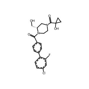 O=C(c1ccc(-c2ccc(Cl)cc2F)cc1)N1CCN(C(=O)C2(O)CC2)C[C@H]1CO